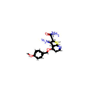 COc1ccc(COc2ccnc3sc(C(N)=O)c(N)c23)cc1